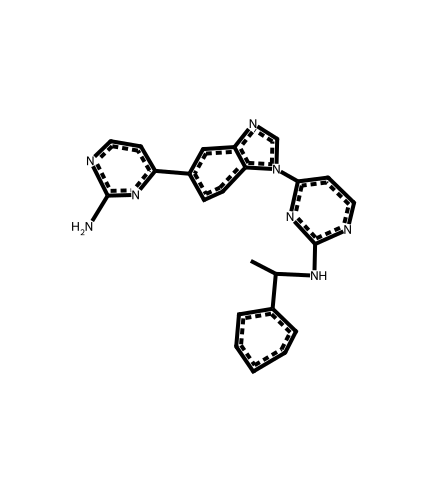 CC(Nc1nccc(-n2cnc3cc(-c4ccnc(N)n4)ccc32)n1)c1ccccc1